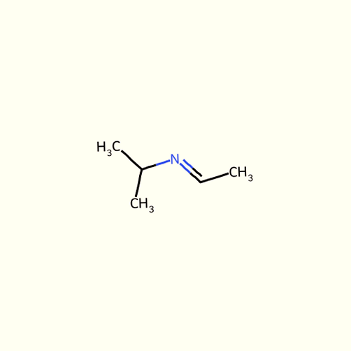 CC=NC(C)C